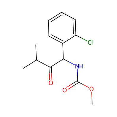 COC(=O)NC(C(=O)C(C)C)c1ccccc1Cl